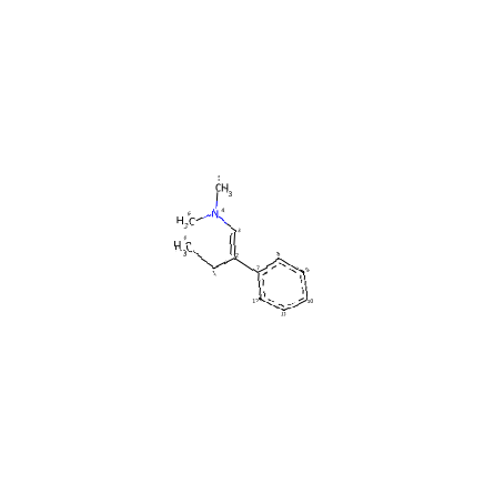 CC/C(=C\N(C)C)c1ccccc1